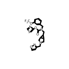 O=C(Oc1cscn1)N(Cc1cccc(OC(F)(F)F)c1)CC1C2CN(Cc3ccon3)CC21